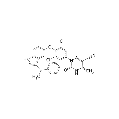 C=C1NC(=O)N(c2cc(Cl)c(Oc3ccc4[nH]cc(C(C)c5ccccc5)c4c3)c(Cl)c2)N=C1C#N